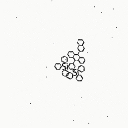 c1ccc([Si](c2ccccc2)(c2ccccc2)c2cc(-c3c4ccccc4c(-c4ccc5ccccc5c4)c4ccccc34)cc([Si](c3ccccc3)(c3ccccc3)c3ccccc3)c2)cc1